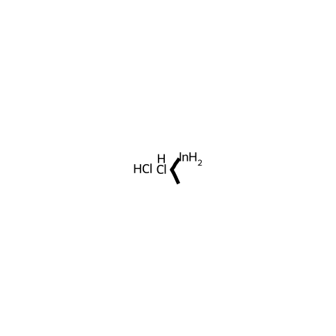 C[CH2][InH2].Cl.Cl